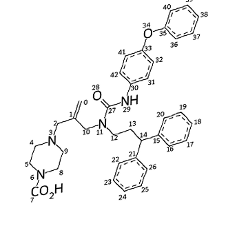 C=C(CN1CCN(C(=O)O)CC1)CN(CCC(c1ccccc1)c1ccccc1)C(=O)Nc1ccc(Oc2ccccc2)cc1